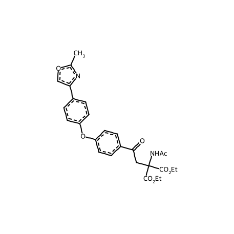 CCOC(=O)C(CC(=O)c1ccc(Oc2ccc(-c3coc(C)n3)cc2)cc1)(NC(C)=O)C(=O)OCC